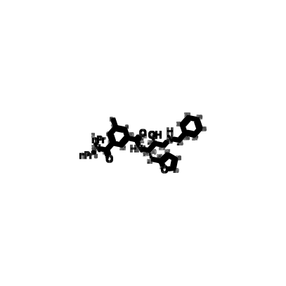 CCCN(CCC)C(=O)c1cc(C)cc(C(=O)N[C@@H](Cc2ccco2)[C@H](O)CNCc2ccccc2)c1